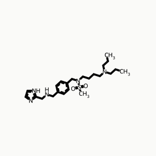 CCCN(CCC)CCCCN(Cc1ccc(CNCc2ncc[nH]2)cc1)S(C)(=O)=O